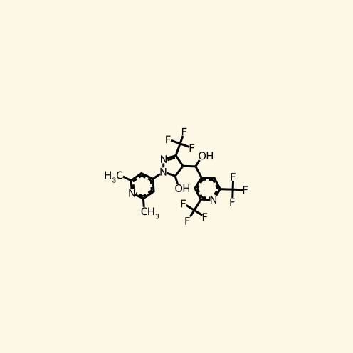 Cc1cc(N2N=C(C(F)(F)F)C(C(O)c3cc(C(F)(F)F)nc(C(F)(F)F)c3)C2O)cc(C)n1